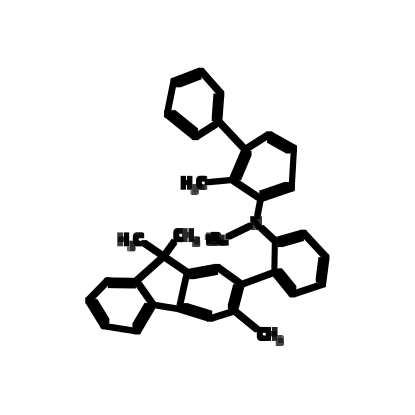 Cc1cc2c(cc1-c1ccccc1N(c1cccc(-c3ccccc3)c1C)C(C)(C)C)C(C)(C)c1ccccc1-2